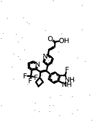 O=C(O)/C=C/c1ccc(/C(=C(\c2ncccc2C(F)(F)F)C2CCC2)c2ccc3c(c2)C(F)NN3)cn1